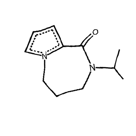 CC(C)N1CCCn2cccc2C1=O